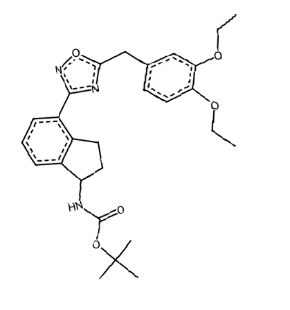 CCOc1ccc(Cc2nc(-c3cccc4c3CCC4NC(=O)OC(C)(C)C)no2)cc1OCC